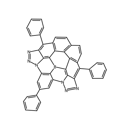 c1ccc(-c2cc3c4c(c2)-n2nnc5c(-c6ccccc6)c6ccc7ccc8c(-c9ccccc9)c9nnn-3c9c3c8c7c6c(c52)B43)cc1